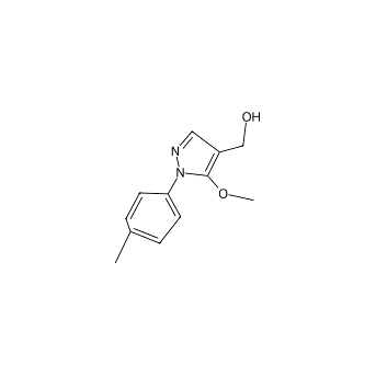 COc1c(CO)cnn1-c1ccc(C)cc1